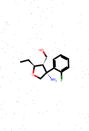 CC[C@@H]1OC[C@](N)(c2ccccc2F)[C@H]1CO